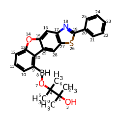 CC(C)(O)C(C)(C)OBc1cccc2oc3cc4nc(-c5ccccc5)sc4cc3c12